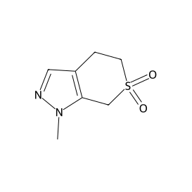 Cn1ncc2c1CS(=O)(=O)CC2